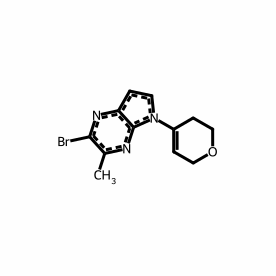 Cc1nc2c(ccn2C2=CCOCC2)nc1Br